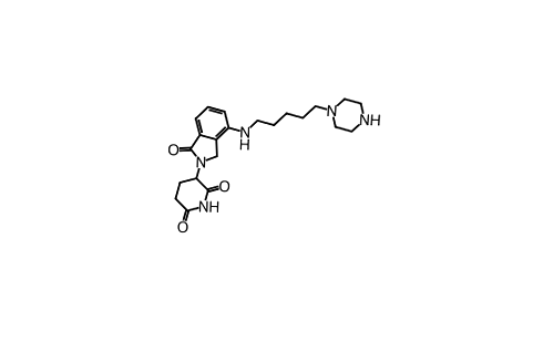 O=C1CCC(N2Cc3c(NCCCCCN4CCNCC4)cccc3C2=O)C(=O)N1